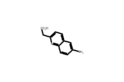 Bc1ccc2nc(CC(=O)OCC)ccc2c1